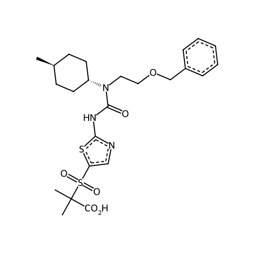 CC(C)(C(=O)O)S(=O)(=O)c1cnc(NC(=O)N(CCOCc2ccccc2)[C@H]2CC[C@H](C)CC2)s1